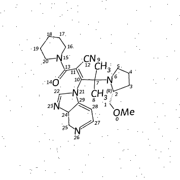 COC[C@H]1CCCN1C(C)(C)C(=C(C#N)C(=O)N1CCCCC1)N1C=NC2CN=CC=C21